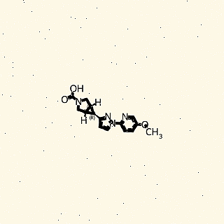 COc1ccc(-n2ccc([C@H]3[C@@H]4CN(C(=O)O)C[C@@H]43)n2)nc1